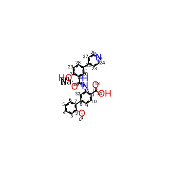 COc1ccccc1-c1ccc(C(=O)O)c(NC(=O)c2cc(-c3ccncc3)ccc2O)c1.[Na]